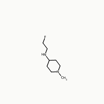 CN1CCC(NCCF)CC1